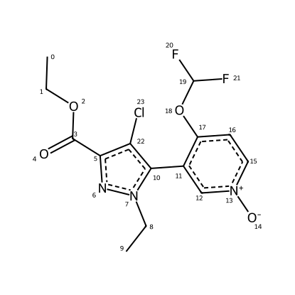 CCOC(=O)c1nn(CC)c(-c2c[n+]([O-])ccc2OC(F)F)c1Cl